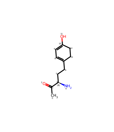 CC(=O)[C@H](N)CCC1=CC=C(O)CC1